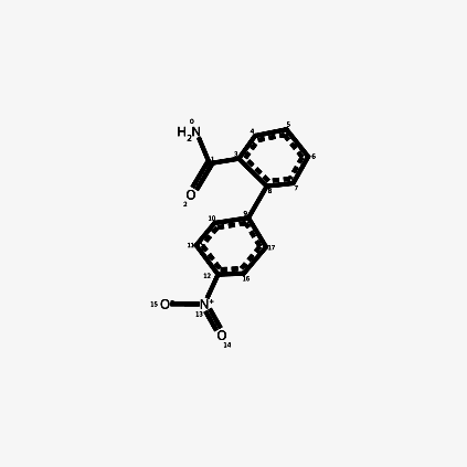 NC(=O)c1ccccc1-c1ccc([N+](=O)[O-])cc1